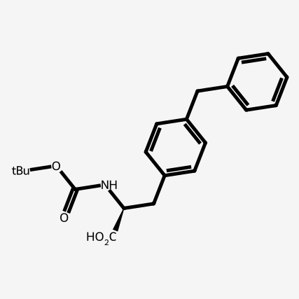 CC(C)(C)OC(=O)N[C@@H](Cc1ccc(Cc2ccccc2)cc1)C(=O)O